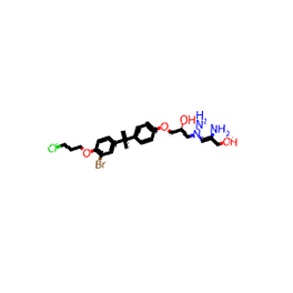 CC(C)(c1ccc(OC[C@H](O)CN(N)/C=C(\N)CO)cc1)c1ccc(OCCCCl)c(Br)c1